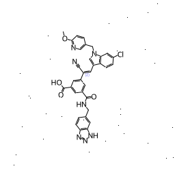 COc1ccc(Cn2cc(/C=C(\C#N)c3cc(C(=O)O)cc(C(=O)NCc4ccc5nn[nH]c5c4)c3)c3ccc(Cl)cc32)cn1